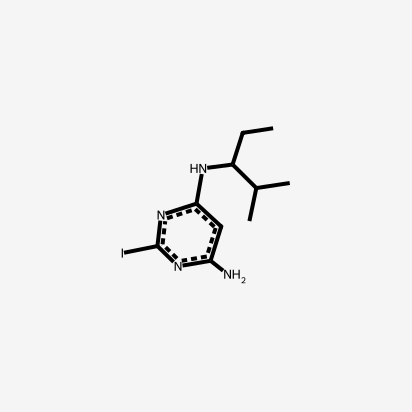 CCC(Nc1cc(N)nc(I)n1)C(C)C